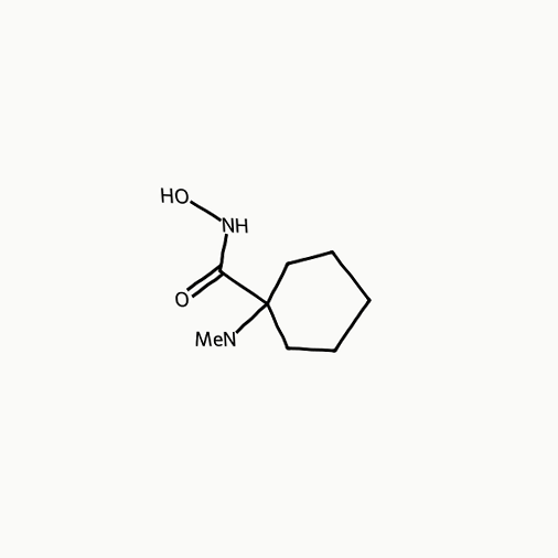 CNC1(C(=O)NO)CCCCC1